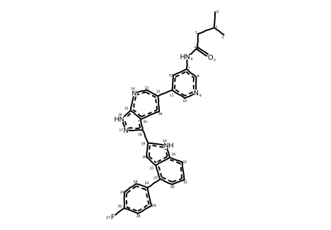 CC(C)CC(=O)Nc1cncc(-c2cnc3[nH]nc(-c4cc5c(-c6ccc(F)cc6)cccc5[nH]4)c3c2)c1